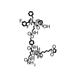 CC(C)[C@H](NC(=O)CCCCCN1C(=O)C=CC1=O)C(=O)N[C@@H](CCCNC(N)=O)C(=O)Nc1ccc(COC(=O)NCCCN(C(=O)N2CCC[C@H]2CO)[C@@H](c2nc(-c3cc(F)ccc3F)cn2Cc2ccccc2)C(C)(C)C)cc1